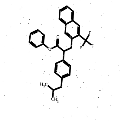 CC(C)Cc1ccc(C(Cc2cc3ccccc3cc2C(F)(F)F)C(=O)Oc2ccccc2)cc1